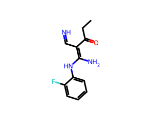 CCC(=O)/C(C=N)=C(\N)Nc1ccccc1F